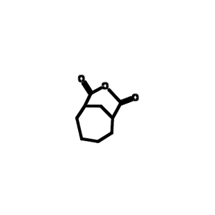 O=C1OC(=O)C2CCCCC1C2